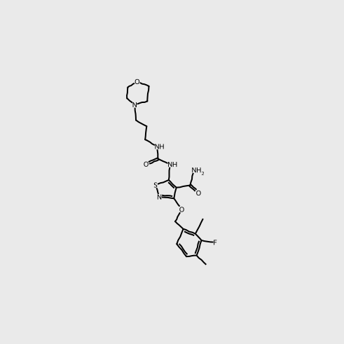 Cc1ccc(COc2nsc(NC(=O)NCCCN3CCOCC3)c2C(N)=O)c(C)c1F